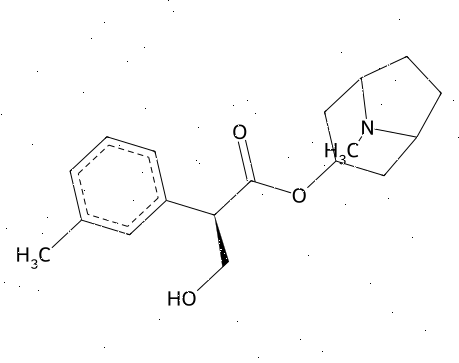 Cc1cccc([C@H](CO)C(=O)OC2CC3CCC(C2)N3C)c1